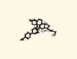 C[C@]12C[C@H]3C4=C(CCC5=CC(=O)CC[C@@]54Cc4cc(-c5ccc(C#N)cc5)ccc43)[C@@H]1CC[C@@]2(O)C#CCO